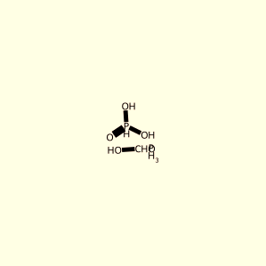 O=CO.O=[PH](O)O.P